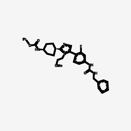 COCCn1c(-c2ccc(NC(=O)NCc3ccccc3)cc2F)cnc1[C@H]1CC[C@H](NC(=O)OC(C)C)CC1